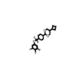 Fc1cc(OC(F)(F)C2CCC(C3OCC(C4CCC4)CO3)CC2)cc(F)c1F